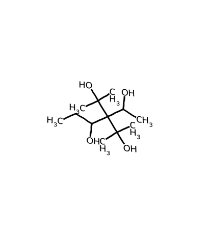 CCC(O)C(C(C)O)(C(C)(C)O)C(C)(C)O